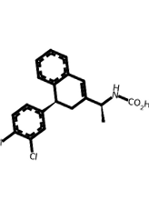 C[C@H](NC(=O)O)C1=Cc2ccccc2[C@H](c2ccc(Cl)c(Cl)c2)C1